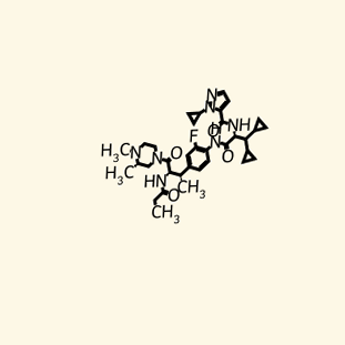 CCC(=O)N[C@@H](C(=O)N1CCN(C)[C@H](C)C1)[C@@H](C)c1ccc(NC(=O)[C@@H](NC(=O)c2ccnn2C2CC2)C(C2CC2)C2CC2)c(F)c1